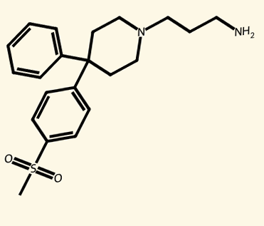 CS(=O)(=O)c1ccc(C2(c3ccccc3)CCN(CCCN)CC2)cc1